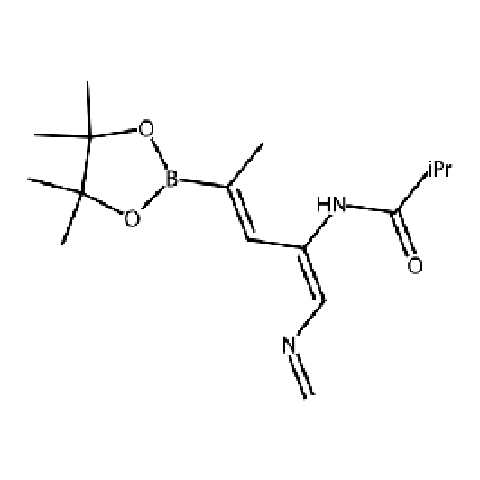 C=N/C=C(\C=C(/C)B1OC(C)(C)C(C)(C)O1)NC(=O)C(C)C